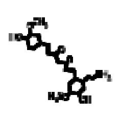 COC1CC(/C=C/C(=O)CC(=O)/C=C/C2CC(OC)C(O)CC2CCN)CCC1O